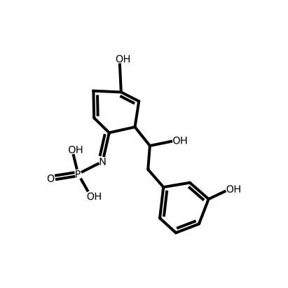 O=P(O)(O)N=C1C=CC(O)=CC1C(O)Cc1cccc(O)c1